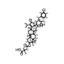 CC(C)C1=C2[C@H]3CC[C@@H]4[C@@]5(C)CC[C@H](OC(=O)CC(C)(C)C(=O)O)C(C)(C)[C@@H]5CC[C@@]4(C)[C@]3(C)CC[C@@]2([C@H](O)CN(Cc2cccc(Cl)c2)C(C)O)CC1=O